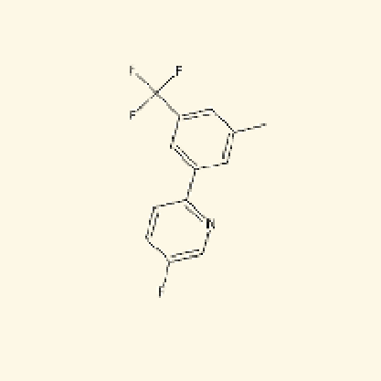 Cc1cc(-c2ccc(F)cn2)cc(C(F)(F)F)c1